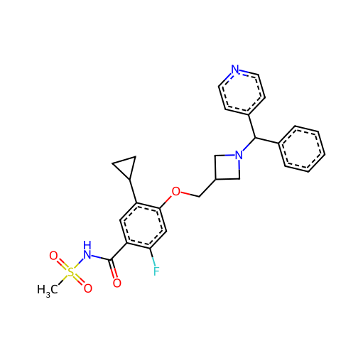 CS(=O)(=O)NC(=O)c1cc(C2CC2)c(OCC2CN(C(c3ccccc3)c3ccncc3)C2)cc1F